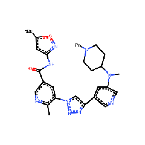 Cc1ncc(C(=O)Nc2cc(C(C)(C)C)on2)cc1-n1cc(-c2cncc(N(C)C3CCN(C(C)C)CC3)c2)nn1